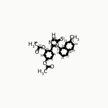 CC(=O)Oc1ccc(-c2n[nH]c(=S)n2-c2cccc3ccc(C)cc23)c(OC(C)=O)c1